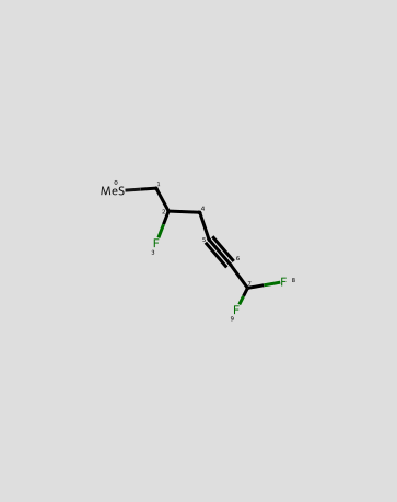 [CH2]SCC(F)CC#CC(F)F